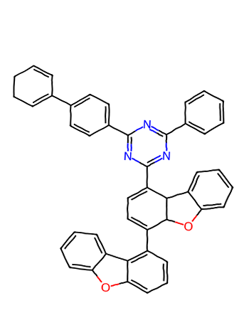 C1=CC(c2ccc(-c3nc(C4=CC=C(c5cccc6oc7ccccc7c56)C5Oc6ccccc6C45)nc(-c4ccccc4)n3)cc2)=CCC1